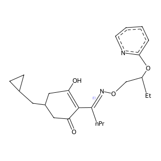 CCC/C(=N\OCC(CC)Oc1ccccn1)C1=C(O)CC(CC2CC2)CC1=O